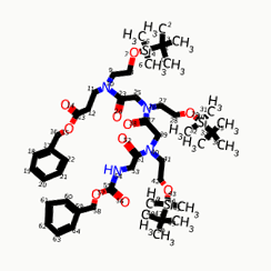 CC(C)(C)[Si](C)(C)OCCN(CCC(=O)OCc1ccccc1)C(=O)CN(CCO[Si](C)(C)C(C)(C)C)C(=O)CN(CCO[Si](C)(C)C(C)(C)C)C(=O)CNC(=O)OCc1ccccc1